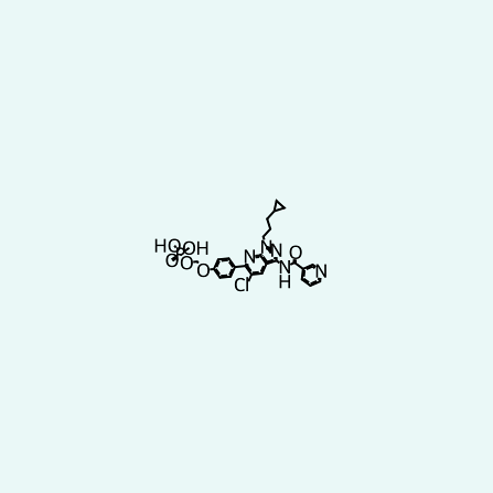 O=C(Nc1nn(CCCC2CC2)c2nc(-c3ccc(OCOP(=O)(O)O)cc3)c(Cl)cc12)c1cccnc1